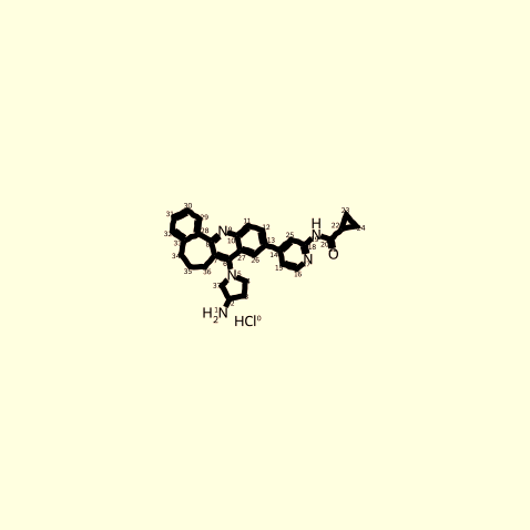 Cl.NC1CCN(c2c3c(nc4ccc(-c5ccnc(NC(=O)C6CC6)c5)cc24)-c2ccccc2CCC3)C1